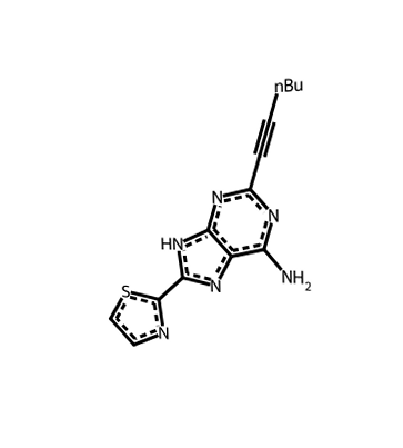 CCCCC#Cc1nc(N)c2nc(-c3nccs3)[nH]c2n1